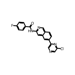 O=C(Nc1cc2cc(-c3cncc(Cl)n3)ccc2cn1)c1ccc(F)cc1